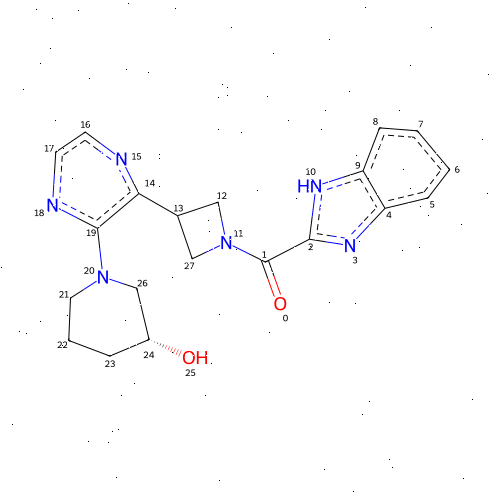 O=C(c1nc2ccccc2[nH]1)N1CC(c2nccnc2N2CCC[C@@H](O)C2)C1